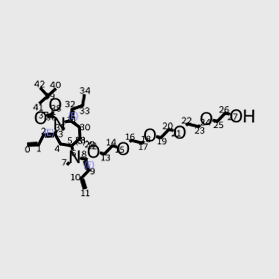 C=C/C=C1\CC(N(C)/C(=C\C=C)OCCOCCOCCOCCOCCO)[C@@H](C)C/C(=C\CC)N1C(=O)OC(C)(C)C